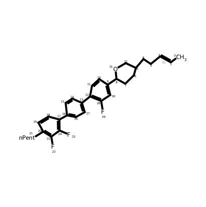 C/C=C/CCC1CCC(c2ccc(-c3ccc(-c4ccc(CCCCC)c(F)c4F)cc3)c(F)c2)OC1